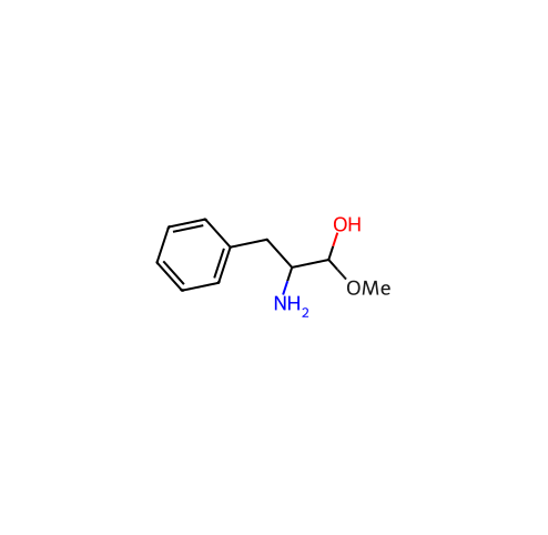 COC(O)C(N)Cc1ccccc1